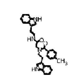 Cc1ccc(C(=O)N(CCc2c[nH]c3ccccc23)CC(=O)NC=Cc2c[nH]c3ccccc23)cc1